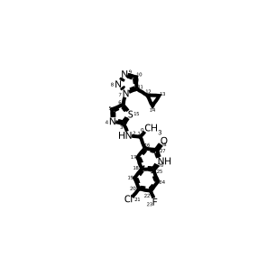 CC(Nc1ncc(-n2nncc2C2CC2)s1)c1cc2cc(Cl)c(F)cc2[nH]c1=O